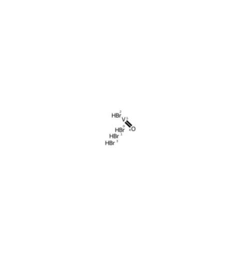 Br.Br.Br.Br.[O]=[V]